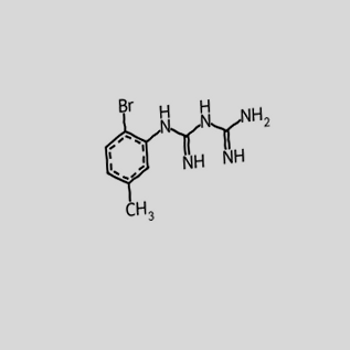 Cc1ccc(Br)c(NC(=N)NC(=N)N)c1